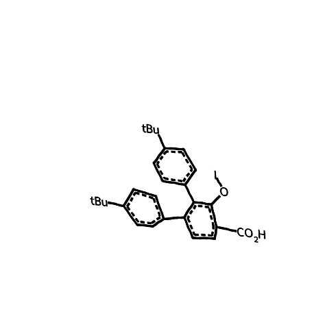 CC(C)(C)c1ccc(-c2ccc(C(=O)O)c(OI)c2-c2ccc(C(C)(C)C)cc2)cc1